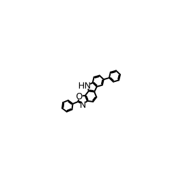 c1ccc(-c2ccc3[nH]c4c(ccc5nc(-c6ccccc6)oc54)c3c2)cc1